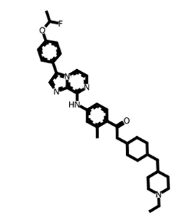 CCN1CCC(CC2CCC(CC(=O)c3ccc(Nc4nccn5c(-c6ccc(OC(C)F)cc6)cnc45)cc3C)CC2)CC1